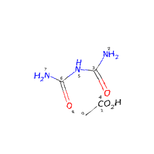 CC(=O)O.NC(=O)NC(N)=O